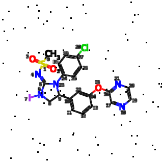 CS(=O)(=O)N=C1N(I)CC(c2cccc(Oc3cnccn3)c2)N1c1ccc(Cl)cc1